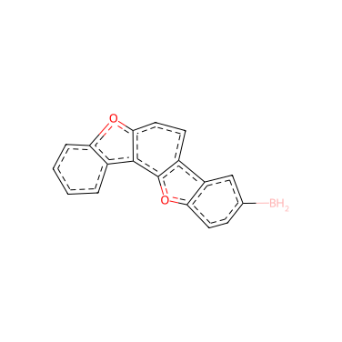 Bc1ccc2oc3c(ccc4oc5ccccc5c43)c2c1